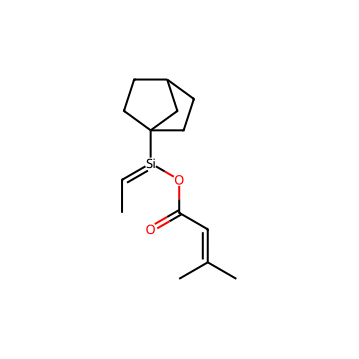 CC=[Si](OC(=O)C=C(C)C)C12CCC(CC1)C2